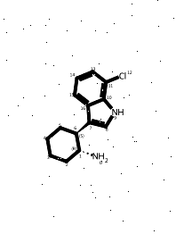 N[C@@H]1CCCC[C@H]1c1c[nH]c2c(Cl)cccc12